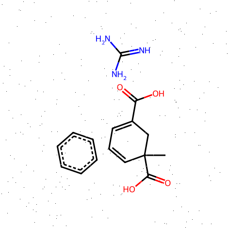 CC1(C(=O)O)C=CC=C(C(=O)O)C1.N=C(N)N.c1ccccc1